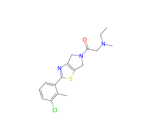 CCN(C)CC(=O)N1Cc2nc(-c3cccc(Cl)c3C)sc2C1